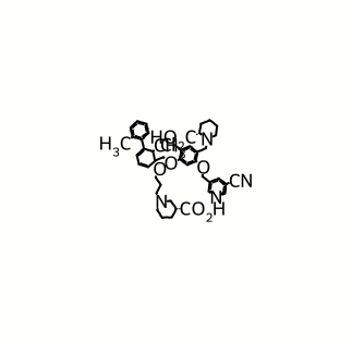 Cc1ccccc1C1=CC=CC(COc2cc(OCc3cncc(C#N)c3)c(CN3CCCC[C@H]3C(=O)O)cc2Cl)(OCCCN2CCC[C@@H](C(=O)O)C2)C1C